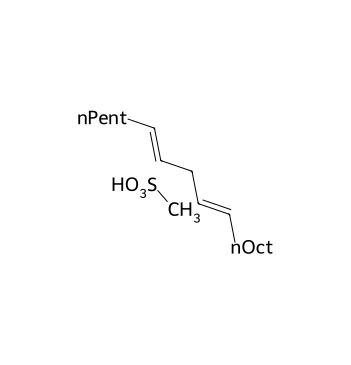 CCCCCC=CCC=CCCCCCCCC.CS(=O)(=O)O